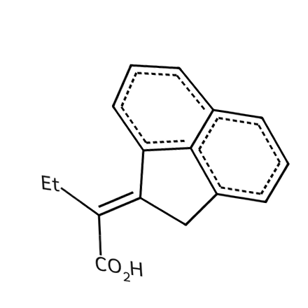 CCC(C(=O)O)=C1Cc2cccc3cccc1c23